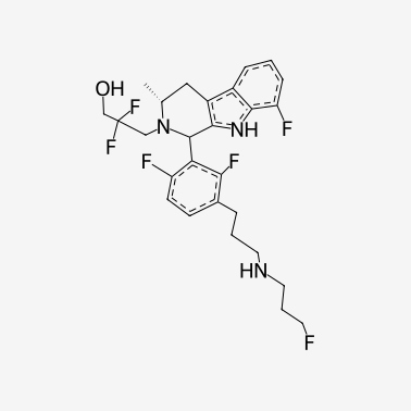 C[C@@H]1Cc2c([nH]c3c(F)cccc23)C(c2c(F)ccc(CCCNCCCF)c2F)N1CC(F)(F)CO